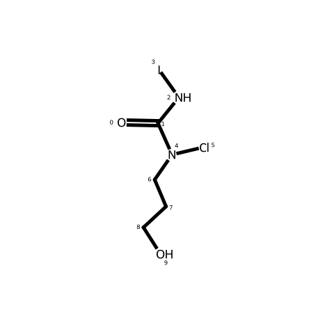 O=C(NI)N(Cl)CCCO